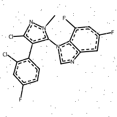 Cn1nc(Cl)c(-c2ccc(F)cc2Cl)c1-n1cnc2cc(F)cc(F)c21